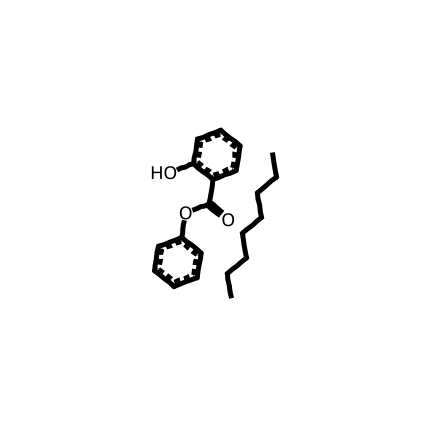 CCCCCCCC.O=C(Oc1ccccc1)c1ccccc1O